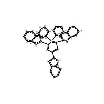 C1=C(c2cc3ccccc3s2)C=C(c2nc3ccccc3s2)P(c2ccccc2)(c2ccccc2)=C1c1nc2ccccc2s1